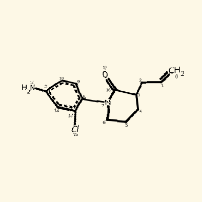 C=CCC1CCCN(c2ccc(N)cc2Cl)C1=O